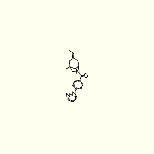 C/C=C1/CC2CC(C)(C1)CN2C(=O)c1ccc(-n2cccn2)cc1